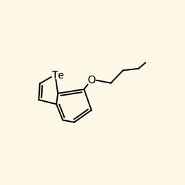 CCCCOc1cccc2cc[te]c12